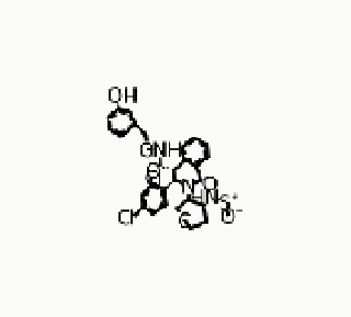 C[S+]([O-])N[C@H]1CCCCC1N1C(=O)c2ccccc2[C@@H](C(=O)NOCc2cccc(O)c2)[C@@H]1c1ccc(Cl)cc1Cl